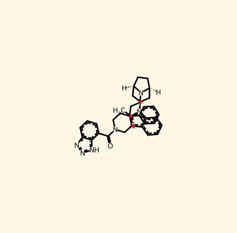 Cc1nc2ccccc2n1[C@H]1C[C@H]2CC[C@@H](C1)N2CCC1(c2ccccc2)CCN(C(=O)c2cccc3nn[nH]c23)CC1